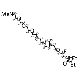 CCC(CC)C(=O)NCC(F)COCCN1CCN(CCOCCOCCOCCOCCNC)CC1